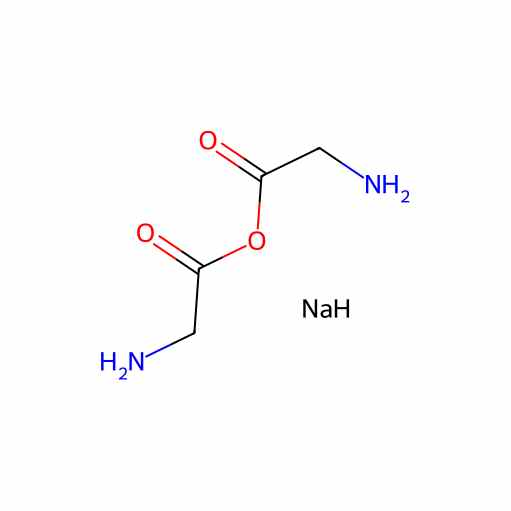 NCC(=O)OC(=O)CN.[NaH]